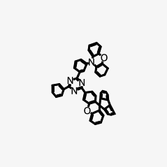 C1=CC2=C(CC1)Oc1ccccc1N2c1cccc(-c2nc(-c3ccccc3)nc(-c3ccc4c(c3)Oc3ccccc3C43c4ccccc4-c4ccccc43)n2)c1